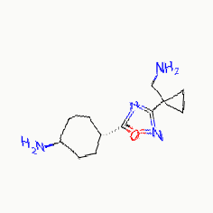 NCC1(c2noc([C@H]3CC[C@H](N)CC3)n2)CC1